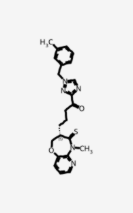 Cc1cccc(Cn2cnc(C(=O)CCC[C@H]3COc4cccnc4N(C)C3=S)n2)c1